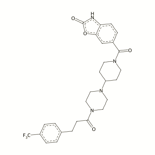 O=C(CCc1ccc(C(F)(F)F)cc1)N1CCN(C2CCN(C(=O)c3ccc4[nH]c(=O)oc4c3)CC2)CC1